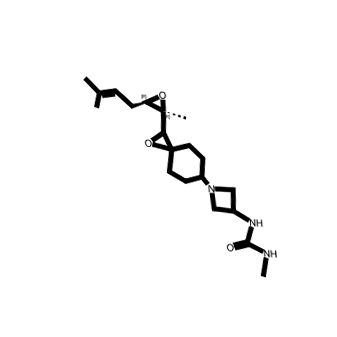 CNC(=O)NC1CN(C2CCC3(CC2)OC3[C@]2(C)O[C@@H]2CC=C(C)C)C1